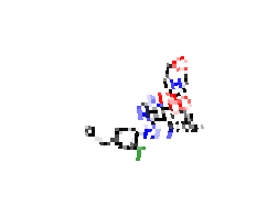 COc1c(Nc2ccc(CC3CC3)cc2F)ncnc1OC1CC2COCC(C1)N2C(=O)OC1(C)CC1